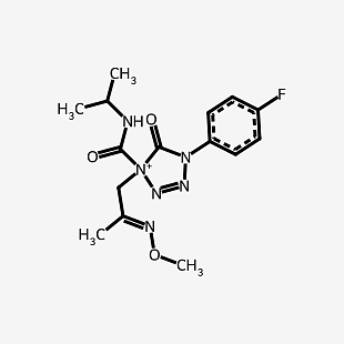 CON=C(C)C[N+]1(C(=O)NC(C)C)N=NN(c2ccc(F)cc2)C1=O